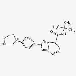 CC(C)(C)NC(=O)c1cccc2cn(-c3ccc([C@@H]4CCCNC4)cc3)nc12